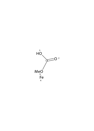 COC(=O)O.[Fe]